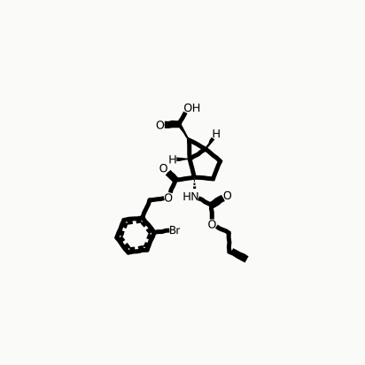 C=CCOC(=O)N[C@@]1(C(=O)OCc2ccccc2Br)CC[C@H]2[C@H](C(=O)O)[C@H]21